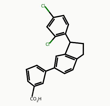 O=C(O)c1cccc(-c2ccc3c(c2)C(c2ccc(Cl)cc2Cl)CC3)c1